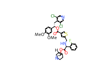 COc1ccc([C@H](Cc2c(Cl)cncc2Cl)OC(=O)c2csc(CNC(C(=O)O[C@H]3CN4CCC3CC4)c3ccccc3F)c2)cc1OC